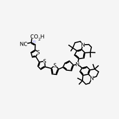 CC1(C)CCN2CCC(C)(C)c3cc(N(c4ccc(-c5ccc(-c6ccc(-c7ccc(/C=C(\C#N)C(=O)O)s7)s6)s5)cc4)c4cc5c6c(c4)C(C)(C)CCN6CCC5(C)C)cc1c32